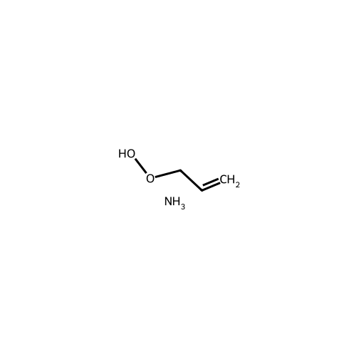 C=CCOO.N